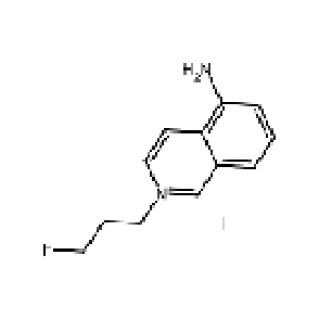 Nc1cccc2c[n+](CCCF)ccc12.[I-]